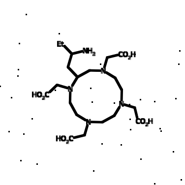 CCC(N)CC1CN(CC(=O)O)CCN(CC(=O)O)CCN(CC(=O)O)CCN1CC(=O)O